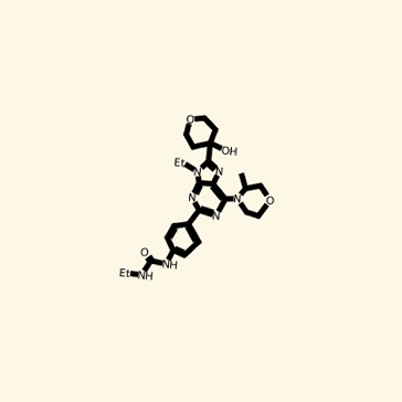 CCNC(=O)Nc1ccc(-c2nc(N3CCOCC3C)c3nc(C4(O)CCOCC4)n(CC)c3n2)cc1